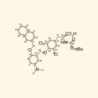 CN(C)c1ccc(OCc2ccc3ccccc3c2)c(COc2c(Cl)cc(C[C@H](NC(=O)OC(C)(C)C)C(=O)O)cc2Cl)c1